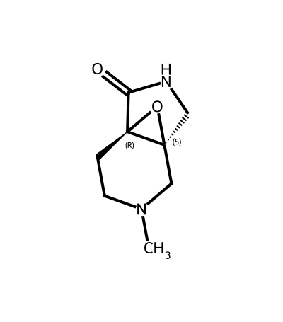 CN1CC[C@@]23O[C@@]2(CNC3=O)C1